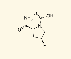 NC(=O)[C@@H]1C[C@H](F)CN1C(=O)O